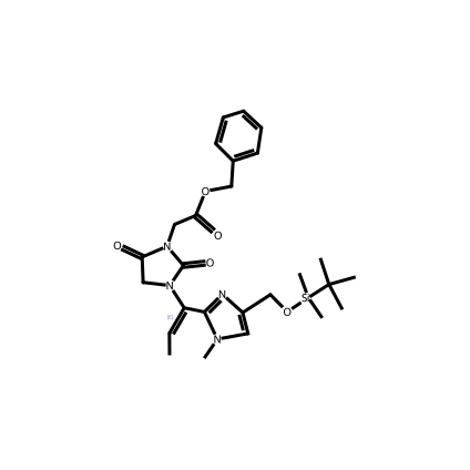 C/C=C(\c1nc(CO[Si](C)(C)C(C)(C)C)cn1C)N1CC(=O)N(CC(=O)OCc2ccccc2)C1=O